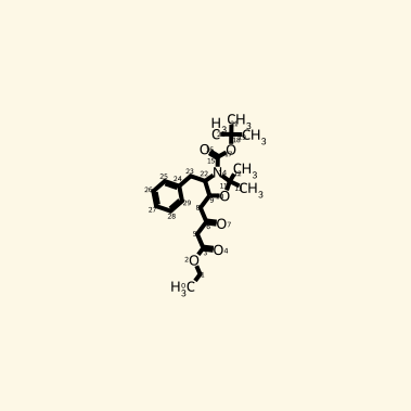 CCOC(=O)CC(=O)CC1OC(C)(C)N(C(=O)OC(C)(C)C)C1Cc1ccccc1